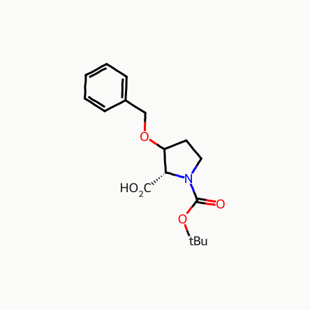 CC(C)(C)OC(=O)N1CCC(OCc2ccccc2)[C@H]1C(=O)O